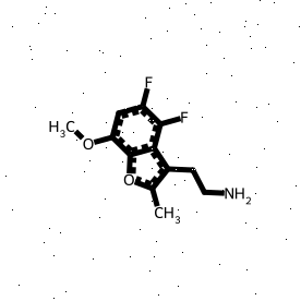 COc1cc(F)c(F)c2c(CCN)c(C)oc12